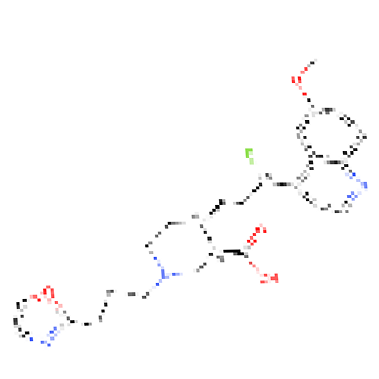 COc1ccc2nccc([C@@H](F)CC[C@@H]3CCN(CCCc4ncco4)C[C@@H]3C(=O)O)c2c1